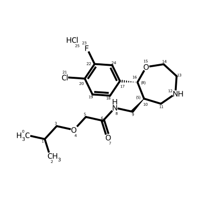 CC(C)COCC(=O)NC[C@@H]1CNCCO[C@H]1c1ccc(Cl)c(F)c1.Cl